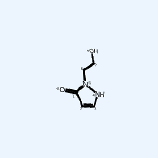 O=c1cc[nH]n1CCO